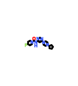 O=C(Nc1cc(N2CCN(C3CCCC3)CC2)ncn1)N1CCC(F)CC1